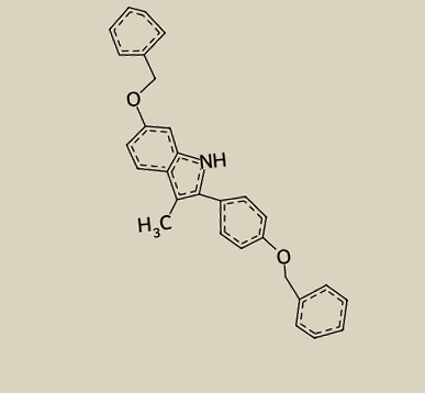 Cc1c(-c2ccc(OCc3ccccc3)cc2)[nH]c2cc(OCc3ccccc3)ccc12